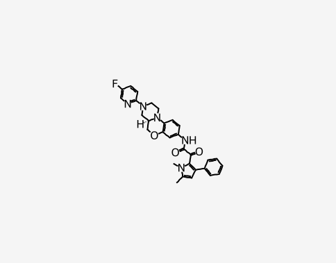 Cc1cc(-c2ccccc2)c(C(=O)C(=O)Nc2ccc3c(c2)OC[C@H]2CN(c4ccc(F)cn4)CCN32)n1C